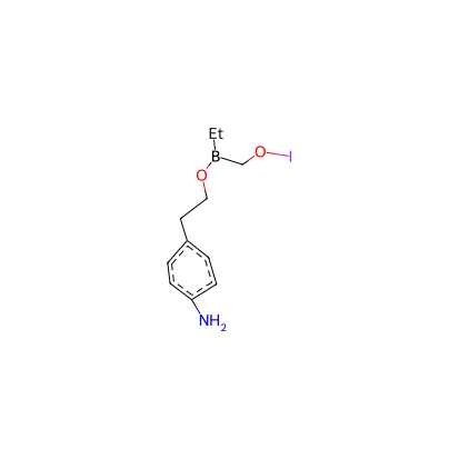 CCB(COI)OCCc1ccc(N)cc1